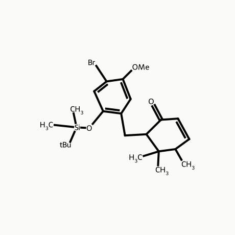 COc1cc(CC2C(=O)C=CC(C)C2(C)C)c(O[Si](C)(C)C(C)(C)C)cc1Br